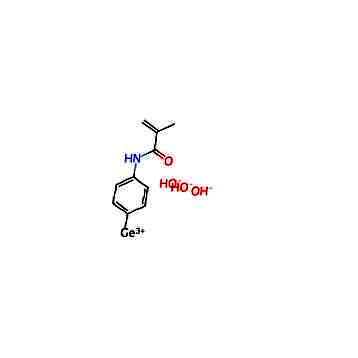 C=C(C)C(=O)Nc1cc[c]([Ge+3])cc1.[OH-].[OH-].[OH-]